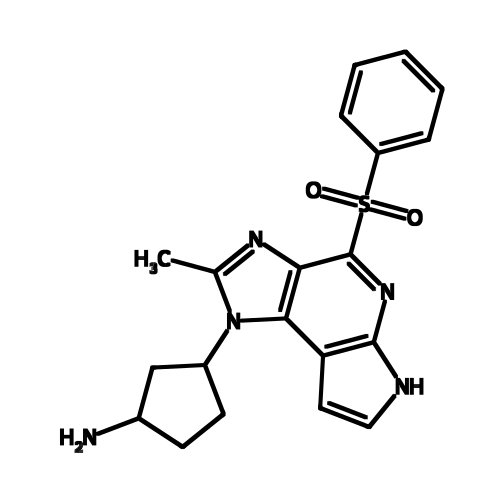 Cc1nc2c(S(=O)(=O)c3ccccc3)nc3[nH]ccc3c2n1C1CCC(N)C1